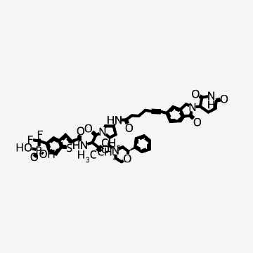 CC(C)(C)C(NC(=O)c1cc2cc(C(F)(F)P(=O)(O)O)ccc2s1)C(=O)N1C[C@@H](NC(=O)CCCC#Cc2ccc3c(c2)CN(C2CCC(=O)NC2=O)C3=O)C[C@H]1C(=O)N1CCO[C@H](c2ccccc2)C1